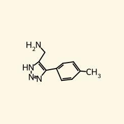 Cc1ccc(-c2nn[nH]c2CN)cc1